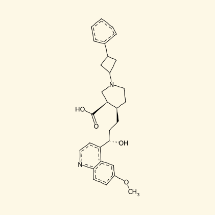 COc1ccc2nccc([C@@H](O)CC[C@@H]3CCN(C4CC(c5ccccc5)C4)C[C@@H]3C(=O)O)c2c1